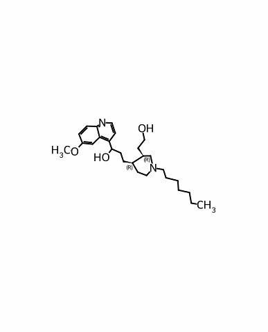 CCCCCCCN1CC[C@@H](CCC(O)c2ccnc3ccc(OC)cc23)[C@@H](CCO)C1